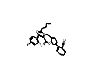 CCCCc1nc(-c2ccc(F)cc2)c(C(N)=O)n1Cc1ccc(-c2ccccc2C#N)cc1